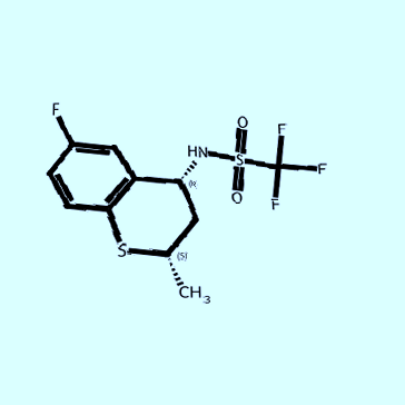 C[C@H]1C[C@@H](NS(=O)(=O)C(F)(F)F)c2cc(F)ccc2S1